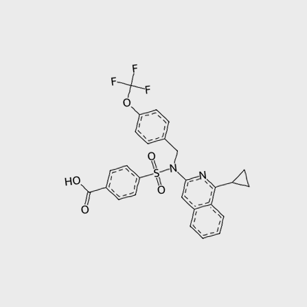 O=C(O)c1ccc(S(=O)(=O)N(Cc2ccc(OC(F)(F)F)cc2)c2cc3ccccc3c(C3CC3)n2)cc1